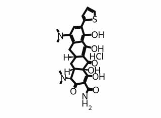 CN(C)c1cc(-c2cccs2)c(O)c2c1C[C@H]1C[C@H]3[C@H](N(C)C)C(=O)C(C(N)=O)=C(O)[C@@]3(O)C(=O)C1=C2O.Cl